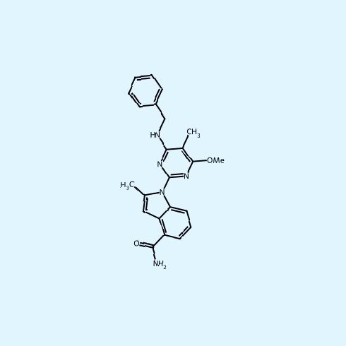 COc1nc(-n2c(C)cc3c(C(N)=O)cccc32)nc(NCc2ccccc2)c1C